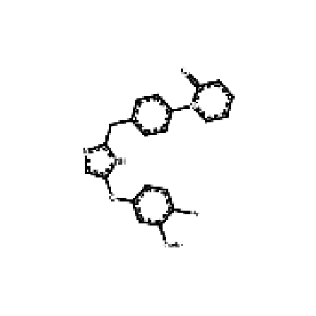 COc1cc(Oc2cnc(Cc3ccc(-n4ccccc4=O)cc3)[nH]2)ccc1Br